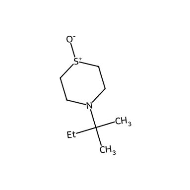 CCC(C)(C)N1CC[S+]([O-])CC1